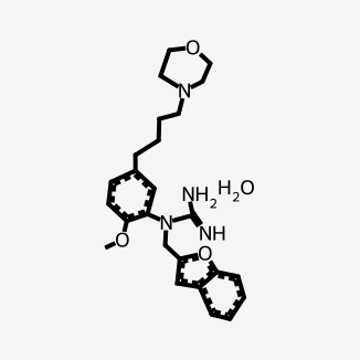 COc1ccc(CCCCN2CCOCC2)cc1N(Cc1cc2ccccc2o1)C(=N)N.O